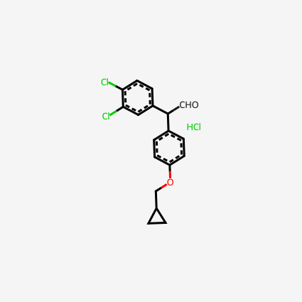 Cl.O=CC(c1ccc(OCC2CC2)cc1)c1ccc(Cl)c(Cl)c1